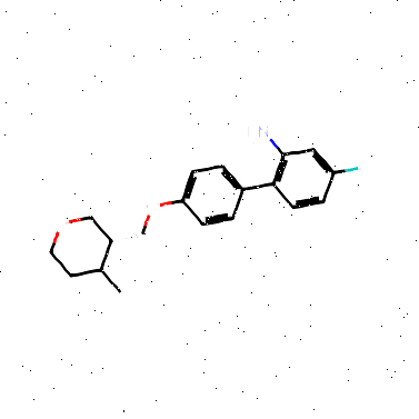 CC1CCOC[C@@H]1COc1ccc(-c2ccc(F)cc2N)cc1